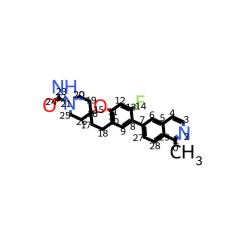 Cc1nccc2cc(-c3cc4c(cc3F)OC3(CC4)CCN(C(N)=O)CC3)ccc12